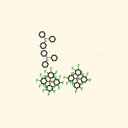 Fc1c(F)c(F)c([B-](c2c(F)c(F)c(F)c(F)c2F)(c2c(F)c(F)c(F)c(F)c2F)c2c(F)c(F)c(F)c(F)c2F)c(F)c1F.Fc1cc(F)c([B-](c2c(F)cc(F)c(F)c2F)(c2c(F)cc(F)c(F)c2F)c2c(F)cc(F)c(F)c2F)c(F)c1F.c1ccc([C+](c2ccccc2)c2ccccc2)cc1.c1ccc([C+](c2ccccc2)c2ccccc2)cc1